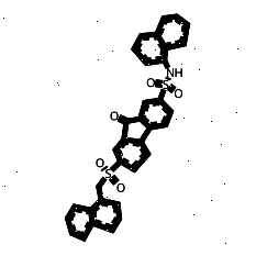 O=C1c2cc(S(=O)(=O)Cc3cccc4ccccc34)ccc2-c2ccc(S(=O)(=O)Nc3cccc4ccccc34)cc21